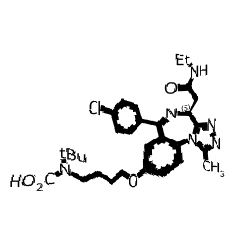 CCNC(=O)C[C@@H]1N=C(c2ccc(Cl)cc2)c2cc(OCCCCN(C(=O)O)C(C)(C)C)ccc2-n2c(C)nnc21